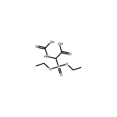 CCOP(=O)(OCC)C(NC(=O)S)C(=O)O